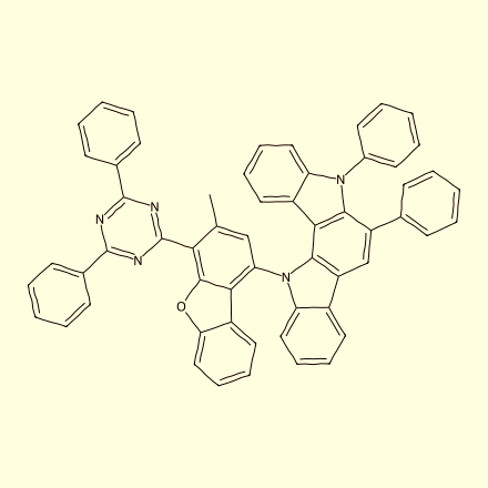 Cc1cc(-n2c3ccccc3c3cc(-c4ccccc4)c4c(c5ccccc5n4-c4ccccc4)c32)c2c(oc3ccccc32)c1-c1nc(-c2ccccc2)nc(-c2ccccc2)n1